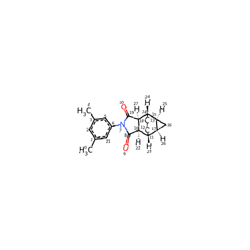 Cc1cc(C)cc(N2C(=O)[C@@H]3[C@@H]4CC[C@@H]([C@H]5C[C@H]54)[C@@H]3C2=O)c1